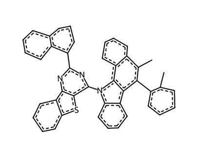 Cc1ccccc1-c1c(C)c2ccccc2c2c1c1ccccc1n2-c1nc(-c2cccc3ccccc23)nc2c1sc1ccccc12